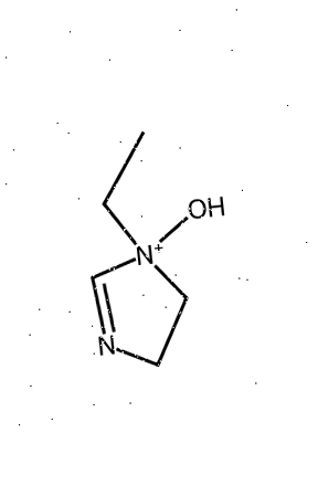 CC[N+]1(O)C=NCC1